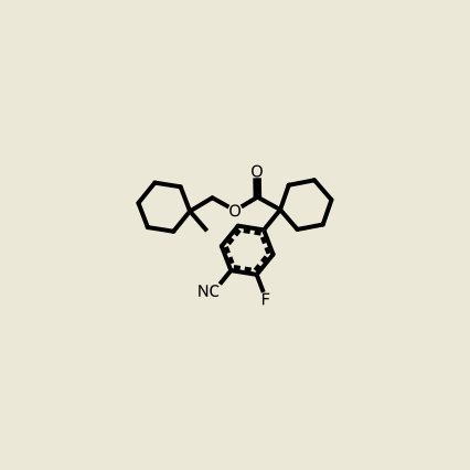 CC1(COC(=O)C2(c3ccc(C#N)c(F)c3)CCCCC2)CCCCC1